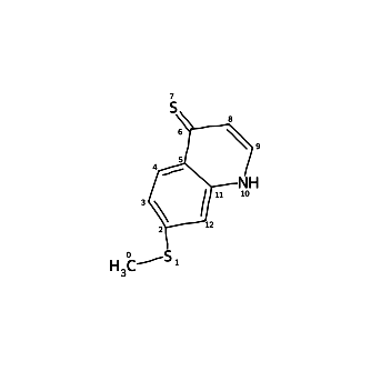 CSc1ccc2c(=S)cc[nH]c2c1